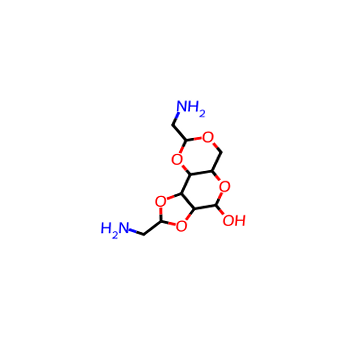 NCC1OCC2OC(O)C3OC(CN)OC3C2O1